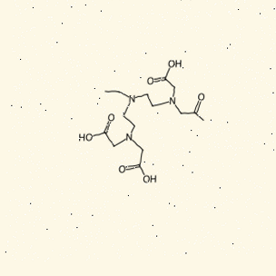 CCN(CCN(CC(C)=O)CC(=O)O)CCN(CC(=O)O)CC(=O)O